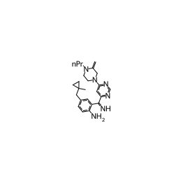 C=C1CN(c2cc(C(=N)c3cc(CC4(C)CC4)ccc3N)ncn2)CCN1CCC